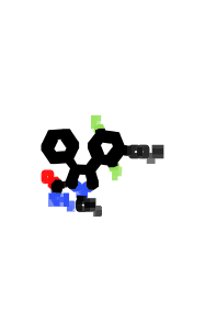 CN1CC(c2cc(F)cc(C(=O)O)c2F)[C@H](c2ccccc2)[C@H]1C(N)=O